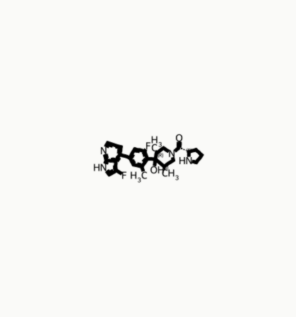 Cc1cc(-c2ccnc3[nH]cc(F)c23)cc(F)c1C1(O)[C@H](C)CN(C(=O)[C@@H]2CCCN2)C[C@@H]1C